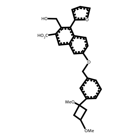 COC1CC(OC)(c2cccc(COc3ccc4c(-c5ccco5)c(CO)c(C(=O)O)cc4c3)c2)C1